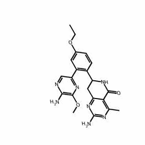 CCOc1ccc(C2Cc3nc(N)nc(C)c3C(=O)N2)c(-c2cnc(N)c(OC)n2)c1